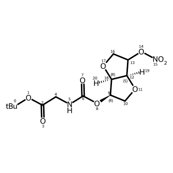 CC(C)(C)OC(=O)CNC(=O)O[C@@H]1CO[C@@H]2C(O[N+](=O)[O-])CO[C@@H]21